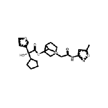 Cc1cc(NC(=O)C[N+]23CCC(CC2)C(OC(=O)[C@](O)(c2ccoc2)C2CCCC2)C3)no1